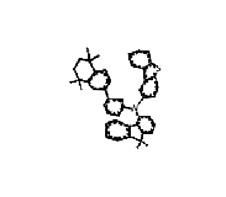 CC1(C)CCC(C)(C)c2cc(-c3cccc(N(c4ccc5sc6ccccc6c5c4)c4cccc5c4-c4ccccc4C5(C)C)c3)ccc21